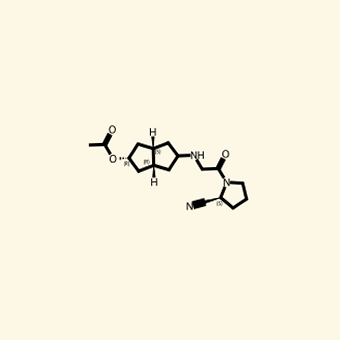 CC(=O)O[C@H]1C[C@H]2CC(NCC(=O)N3CCC[C@H]3C#N)C[C@H]2C1